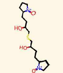 O=[N+]1CCCC1CCC(O)CSCC(O)CCC1CCC[N+]1=O